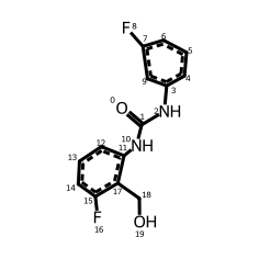 O=C(Nc1cccc(F)c1)Nc1cccc(F)c1CO